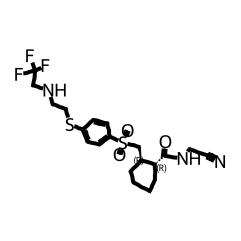 N#CCNC(=O)[C@@H]1CCCC[C@H]1CS(=O)(=O)c1ccc(SCCNCC(F)(F)F)cc1